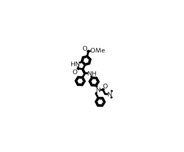 COC(=O)c1ccc2c(c1)NC(=O)C2=C(Nc1ccc(N(Cc2ccccc2)C(=O)CN(C)C)cc1)c1ccccc1